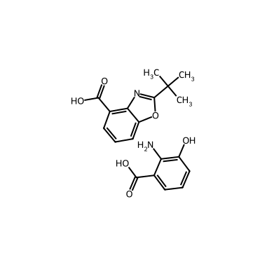 CC(C)(C)c1nc2c(C(=O)O)cccc2o1.Nc1c(O)cccc1C(=O)O